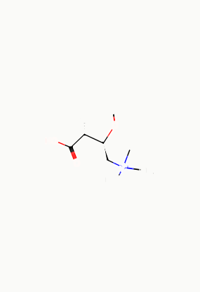 [2H]O[C@@H](C[N+](C)(C)C)[C@@H]([2H])C(=O)O